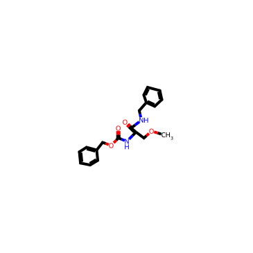 COCC(NC(=O)OCc1ccccc1)C(=O)NCc1ccccc1